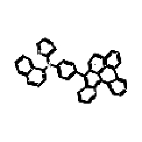 c1ccc(-c2ccccc2-c2c3ccccc3c(-c3ccc(N(c4ccccn4)c4cccc5ccccc45)cc3)c3ccccc23)cc1